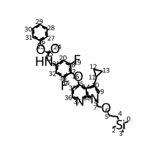 C[Si](C)(C)CCOCn1cc(C2CC2)c2c(Oc3c(F)cc(NC(=O)Oc4ccccc4)cc3F)ccnc21